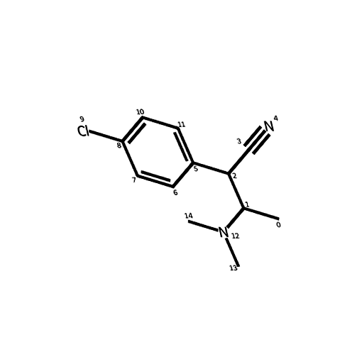 CC(C(C#N)c1ccc(Cl)cc1)N(C)C